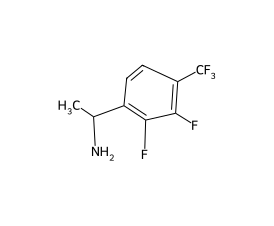 CC(N)c1ccc(C(F)(F)F)c(F)c1F